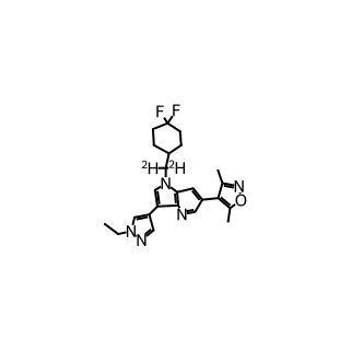 [2H]C([2H])(C1CCC(F)(F)CC1)n1cc(-c2cnn(CC)c2)c2ncc(-c3c(C)noc3C)cc21